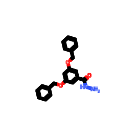 NNC(=O)c1cc(OCc2ccccc2)cc(OCc2ccccc2)c1